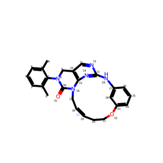 Cc1cccc(C)c1N1Cc2cnc3nc2N(C/C=C\CCOc2cccc(c2)N3)C1=O